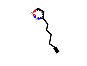 [C]#CCCCCc1ccon1